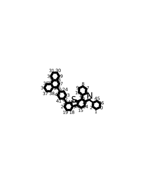 c1ccc(-c2nc3ccccc3c3c2ccc2c4cccc(-c5ccc(-c6cc7ccccc7c7ccccc67)cc5)c4sc23)cc1